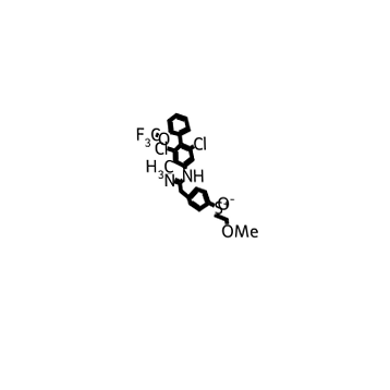 C/N=C(/Cc1ccc([S+]([O-])CCOC)cc1)Nc1cc(Cl)c(-c2ccccc2OC(F)(F)F)c(Cl)c1